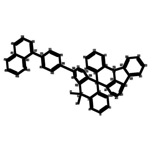 C[Si]1(C)c2ccccc2C2(c3ccccc3-n3c4ccccc4c4cccc2c43)c2ccc(-c3ccc(-c4cccc5cccnc45)cc3)cc21